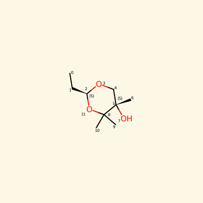 CC[C@H]1OC[C@](C)(O)C(C)(C)O1